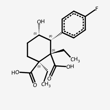 CC[C@]1(C(=O)O)CC[C@H](O)[C@H](c2ccc(F)cc2)[C@]1(CC)C(=O)O